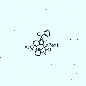 CCCCCC(NC(C)=O)(C(=O)N(C)c1ccccc1)c1c(C)n(C(=O)c2ccccc2)c2ccc(OC(C)=O)cc12